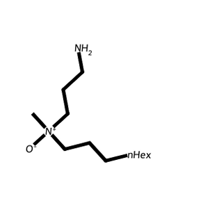 CCCCCCCCC[N+](C)([O-])CCCN